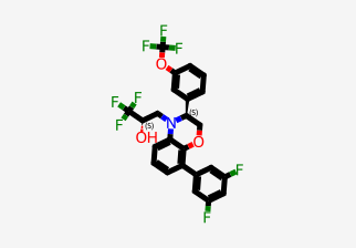 O[C@@H](CN1c2cccc(-c3cc(F)cc(F)c3)c2OC[C@@H]1c1cccc(OC(F)(F)F)c1)C(F)(F)F